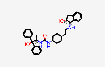 C[C@@H](NC(=O)N[C@H]1CC[C@H](CCN[C@@H]2c3ccccc3C[C@@H]2O)CC1)C(O)(c1ccccc1)c1ccccc1